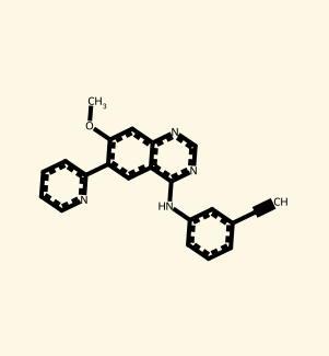 C#Cc1cccc(Nc2ncnc3cc(OC)c(-c4ccccn4)cc23)c1